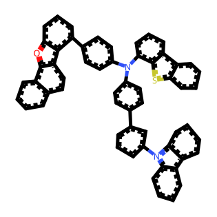 c1cc(-c2ccc(N(c3ccc(-c4cccc5oc6c7ccccc7ccc6c45)cc3)c3cccc4c3sc3ccccc34)cc2)cc(-n2c3ccccc3c3ccccc32)c1